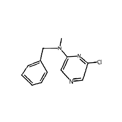 CN(Cc1ccccc1)c1cncc(Cl)n1